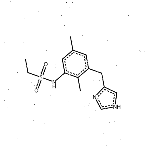 CCS(=O)(=O)Nc1cc(C)cc(Cc2c[nH]cn2)c1C